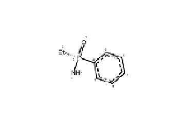 CC[P@]([NH])(=O)c1ccccc1